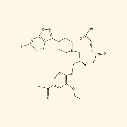 CCOc1cc(C(C)=O)ccc1OC[C@H](C)CN1CCC(c2noc3cc(F)ccc23)CC1.O=C(O)/C=C/C(=O)O